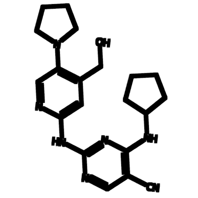 N#Cc1cnc(Nc2cc(CO)c(N3CCCC3)cn2)nc1NC1CCCC1